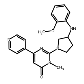 COc1ccccc1NC1CCN(c2nc(-c3ccncc3)cc(=O)n2C)C1